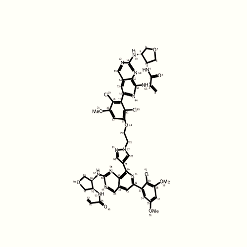 C=CC(=O)N[C@H]1COC[C@H]1Nc1ncc2cc(-c3c(Cl)c(OC)cc(OCCn4cc(-c5nc(-c6cc(OC)cc(OC)c6Cl)cc6cnc(N[C@@H]7COC[C@@H]7NC(=O)C=C)nc56)cn4)c3Cl)nc(N)c2n1